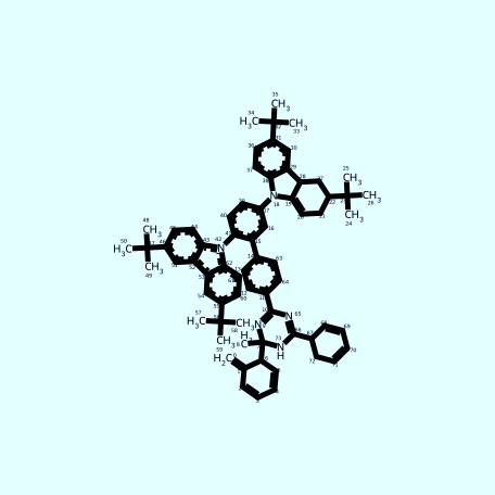 C=C1C=CC=CC1C1(C)N=C(c2ccc(-c3cc(N4C5=CCC(C(C)(C)C)CC5c5cc(C(C)(C)C)ccc54)ccc3-n3c4ccc(C(C)(C)C)cc4c4cc(C(C)(C)C)ccc43)cc2)N=C(C2C=CC=CC2)N1